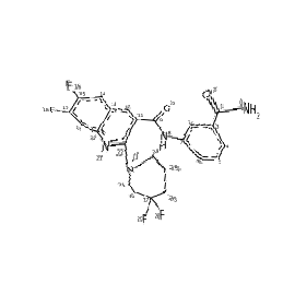 NC(=O)c1cccc(NC(=O)c2cc3cc(F)c(F)cc3nc2N2CCCC(F)(F)CC2)c1